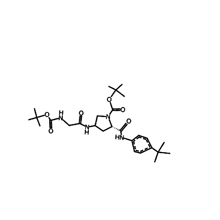 CC(C)(C)OC(=O)NCC(=O)NC1C[C@@H](C(=O)Nc2ccc(C(C)(C)C)cc2)N(C(=O)OC(C)(C)C)C1